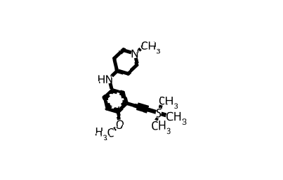 COc1ccc(NC2CCN(C)CC2)cc1C#CS(C)(C)C